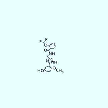 COc1ccc(O)cc1-c1nc(CNC(=O)c2ccccc2OC(F)F)n[nH]1